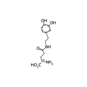 N[C@@H](CCC(=O)NCCc1ccc(O)c(O)c1)C(=O)O